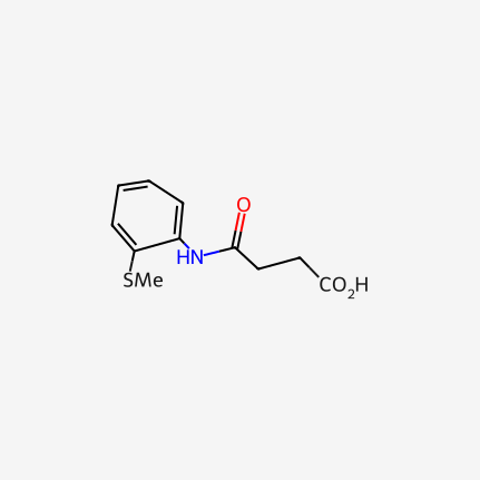 CSc1ccccc1NC(=O)CCC(=O)O